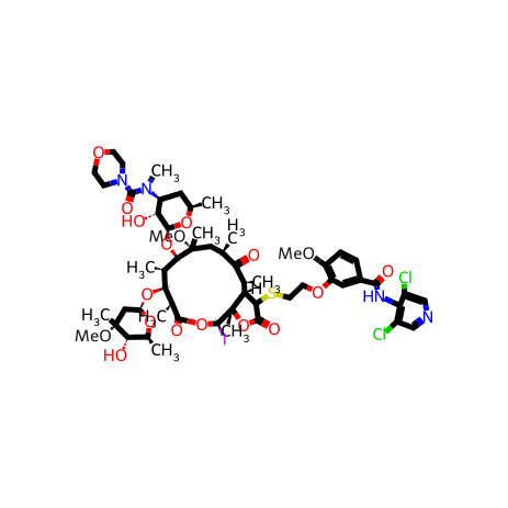 COc1ccc(C(=O)Nc2c(Cl)cncc2Cl)cc1OCCSC1C(=O)O[C@@]2(C)[C@H]1[C@@H](C)C(=O)[C@H](C)C[C@@](C)(OC)[C@H](O[C@@H]1O[C@H](C)C[C@H](N(C)C(=O)N3CCOCC3)[C@H]1O)[C@@H](C)[C@H](O[C@H]1C[C@@](C)(OC)[C@@H](O)[C@H](C)O1)[C@@H](C)C(=O)O[C@@H]2I